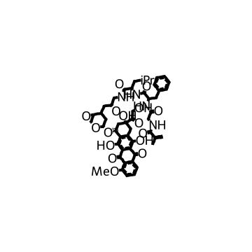 C=C(C)C(=O)NCC(=O)NC(Cc1ccccc1)C(=O)NC(CC(C)C)C(=O)NCC(=O)CC1CC(O[C@@H]2CC(O)(C(=O)CO)Cc3c(O)c4c(c(O)c32)C(=O)c2c(OC)cccc2C4=O)OC2OC12